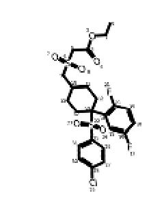 CCOC(=O)CS(=O)(=O)CC1CCC(c2cc(F)ccc2F)(S(=O)(=O)c2ccc(Cl)cc2)CC1